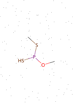 COP(S)SC